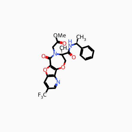 COC(=O)CN1C(=O)c2oc3cc(C(F)(F)F)cnc3c2OC[C@]1(C)C(=O)N[C@@H](C)c1ccccc1